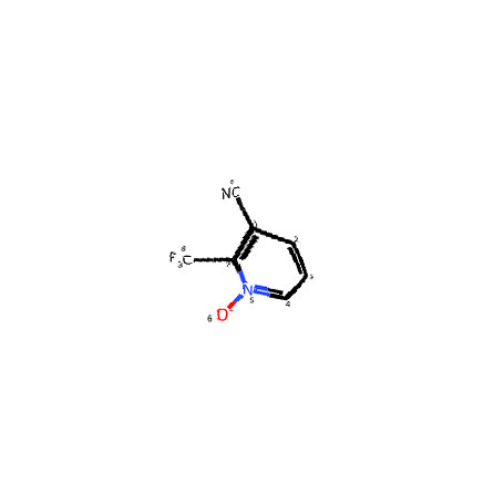 N#Cc1ccc[n+]([O-])c1C(F)(F)F